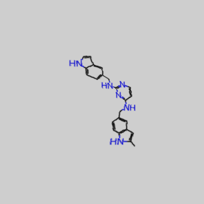 Cc1cc2cc(CNc3ccnc(NCc4ccc5[nH]ccc5c4)n3)ccc2[nH]1